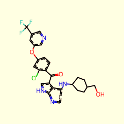 O=C(c1ccc(Oc2cncc(C(F)(F)F)c2)cc1Cl)c1c[nH]c2nccc(NC3CCC(CO)CC3)c12